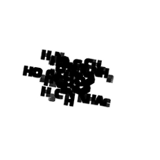 CC(=O)N[C@@H](CCCC(N)N(C(=O)[C@@H](C)NC(=O)CN)[C@H](C)C(=O)O)C(=O)N[C@H](C)C(=O)N[C@H](C)C(=O)O